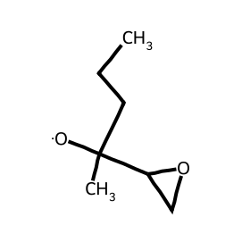 CCCC(C)([O])C1CO1